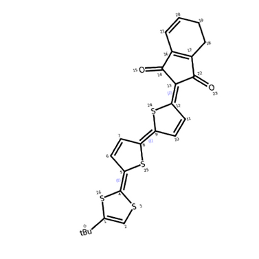 CC(C)(C)C1=CS/C(=c2/cc/c(=c3/cc/c(=C4/C(=O)C5=C(CCC=C5)C4=O)s3)s2)S1